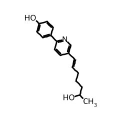 CC(O)CCCC=Cc1ccc(-c2ccc(O)cc2)nc1